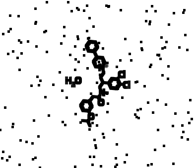 CC(C)Oc1cccc(CC(=O)N(C)CC(CC[n+]2ccc(-c3ccccc3)cc2)c2ccc(Cl)c(Cl)c2)c1.O